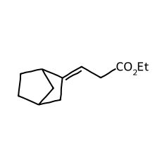 CCOC(=O)CC=C1CC2CCC1C2